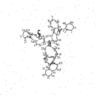 c1ccc(-n2c3ccccc3c3cc(N(c4ccc5c(c4)sc4ccccc45)c4ccc5c(c4)sc4c6ccccc6ccc54)ccc32)cc1